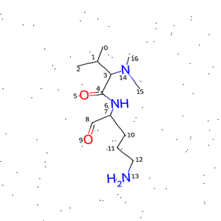 CC(C)C(C(=O)NC(C=O)CCCN)N(C)C